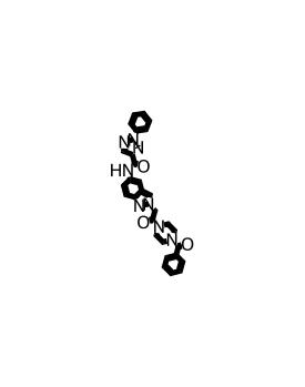 O=C(Nc1ccc2nn(CC(=O)N3CCN(C(=O)c4ccccc4)CC3)cc2c1)c1cnn(-c2ccccc2)n1